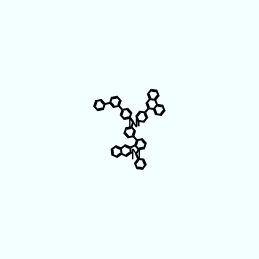 CC1(N(c2ccc(-c3cccc(-c4ccccc4)c3)cc2)c2cccc(-c3cccc4c3c3cc5ccccc5cc3n4-c3ccccc3)c2)C=CC(c2cc3ccccc3c3ccccc23)=CC1